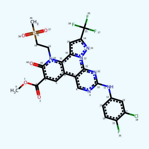 COC(=O)c1cc2c3cnc(Nc4ccc(F)c(Cl)c4)nc3n3nc(C(F)(F)F)cc3c2n(CCS(C)(=O)=O)c1=O